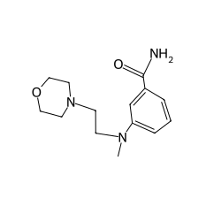 CN(CCN1CCOCC1)c1cccc(C(N)=O)c1